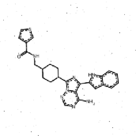 Nc1ncnn2c(C3CCC(CNC(=O)c4ccsc4)CC3)nc(-c3cc4ccccc4[nH]3)c12